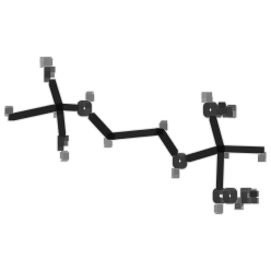 CCOC(=O)C(C)(OCCOC(C)(F)F)OC(C)=O